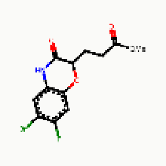 COC(=O)CCC1Oc2cc(F)c(Br)cc2NC1=O